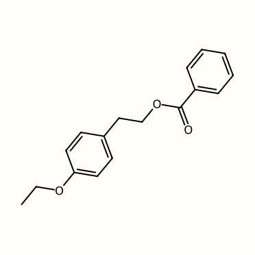 CCOc1ccc(CCOC(=O)c2ccccc2)cc1